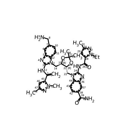 C=C(Nc1nc2cc(CN)ccc2n1C[C@H]1OC(C)(C)O[C@@H]1Cn1c(NC(=O)c2cc(C)nn2CC)nc2cc(C(N)=O)ccc21)c1cc(C)nn1C